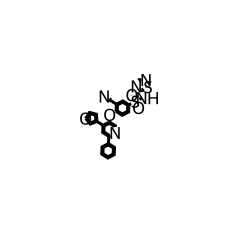 N#Cc1cc(S(=O)(=O)Nc2ncns2)ccc1Oc1cnc(-c2ccccc2)cc1-c1ccoc1